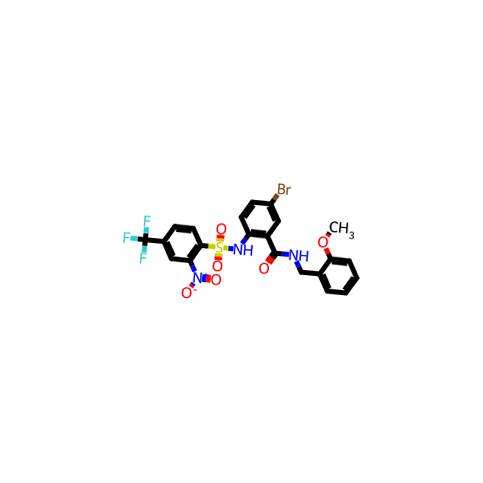 COc1ccccc1CNC(=O)c1cc(Br)ccc1NS(=O)(=O)c1ccc(C(F)(F)F)cc1[N+](=O)[O-]